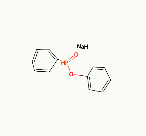 O=[PH](Oc1ccccc1)c1ccccc1.[NaH]